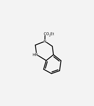 CCOC(=O)N1CNc2ccccc2C1